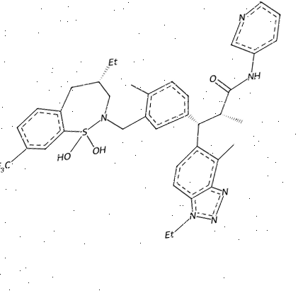 CC[C@H]1Cc2ccc(C(F)(F)F)cc2S(O)(O)N(Cc2cc([C@@H](c3ccc4c(nnn4CC)c3C)[C@@H](C)C(=O)Nc3cccnc3)ccc2C)C1